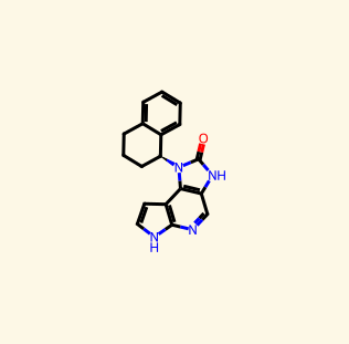 O=c1[nH]c2cnc3[nH]ccc3c2n1[C@H]1CCCc2ccccc21